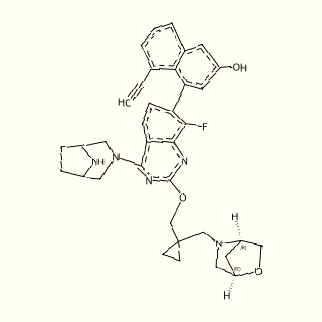 C#Cc1cccc2cc(O)cc(-c3ccc4c(N5CC6CCC(C5)N6)nc(OCC5(CN6C[C@H]7C[C@@H]6CO7)CC5)nc4c3F)c12